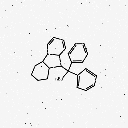 CCCCC(c1ccccc1)(c1ccccc1)C1C2C=CC=CC2C2CCCCC21